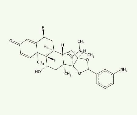 CN(C)C(=O)[C@@]12OC(c3cccc(N)c3)O[C@@H]1C[C@H]1[C@@H]3C[C@H](F)C4=CC(=O)C=C[C@]4(C)[C@@]3(F)[C@@H](O)C[C@@]12C